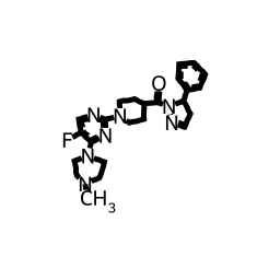 CN1CCN(c2nc(N3CCC(C(=O)N4N=CCC4c4ccccc4)CC3)ncc2F)CC1